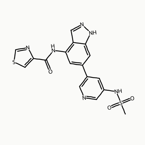 CS(=O)(=O)Nc1cncc(-c2cc(NC(=O)c3cscn3)c3cn[nH]c3c2)c1